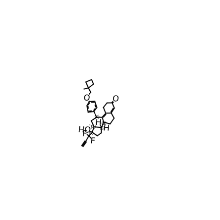 C#CC(F)(F)[C@]1(O)CC[C@H]2[C@@H]3CCC4=CC(=O)CCC4=C3[C@H](c3ccc(OCC4(C)CCC4)cc3)C[C@@]21C